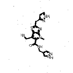 Cn1c(C(=O)NCc2cn[nH]c2)c(C=N)c2sc(Cc3cc[nH]n3)nc21